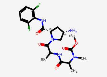 CC(C(=O)NC(C(=O)N1C[C@@H](N)C[C@H]1C(=O)Nc1c(F)cccc1F)C(C)(C)C)N(C)C(=O)OC(C)(C)C